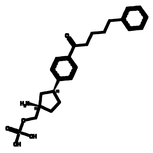 N[C@@]1(COP(=O)(O)O)CC[C@@H](c2ccc(C(=O)CCCCc3ccccc3)cc2)C1